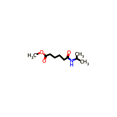 COC(=O)CCCCC(=O)NC(C)C